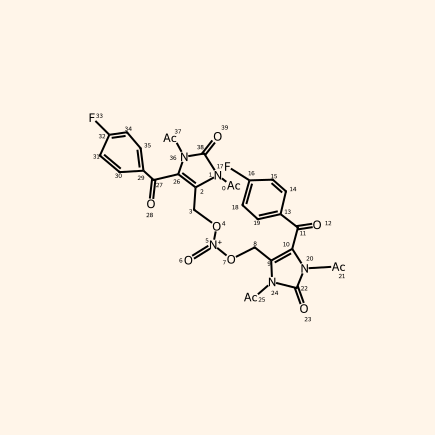 CC(=O)n1c(CO[N+](=O)OCc2c(C(=O)c3ccc(F)cc3)n(C(C)=O)c(=O)n2C(C)=O)c(C(=O)c2ccc(F)cc2)n(C(C)=O)c1=O